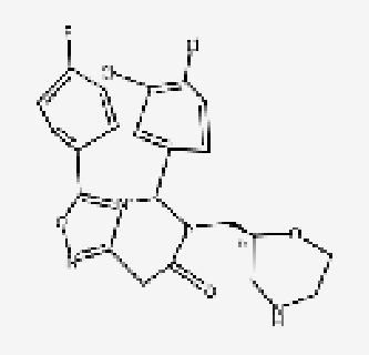 O=C1Cc2noc(-c3ccc(F)cc3)[n+]2C(c2ccc(Cl)c(Cl)c2)N1C[C@@H]1CNCCO1